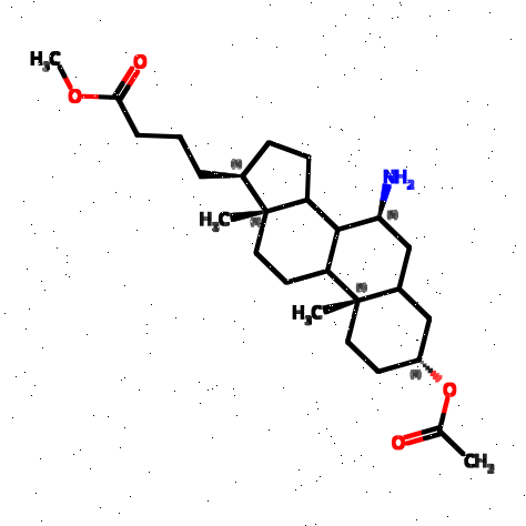 COC(=O)CCC[C@H]1CCC2C3C(CC[C@@]21C)[C@@]1(C)CC[C@@H](OC(C)=O)CC1C[C@@H]3N